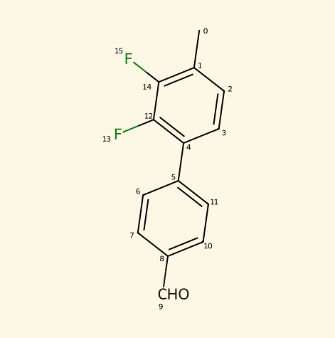 Cc1ccc(-c2ccc(C=O)cc2)c(F)c1F